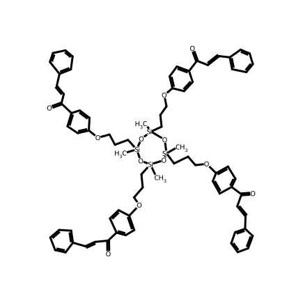 C[Si]1(CCCOc2ccc(C(=O)C=Cc3ccccc3)cc2)O[Si](C)(CCCOc2ccc(C(=O)C=Cc3ccccc3)cc2)O[Si](C)(CCCOc2ccc(C(=O)C=Cc3ccccc3)cc2)O[Si](C)(CCCOc2ccc(C(=O)C=Cc3ccccc3)cc2)O1